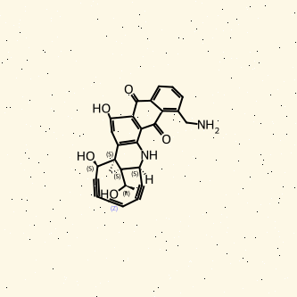 C[C@@H](O)[C@@]12C[C@]13c1cc(O)c4c(c1N[C@H]2C#C/C=C\C#C[C@H]3O)C(=O)c1c(CN)cccc1C4=O